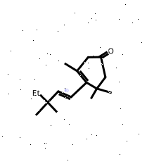 CCC(C)(C)/C=C/C1=C(C)CC(=O)CC1(C)C